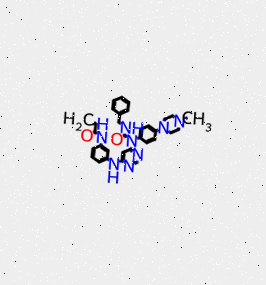 C=CC(=O)Nc1cccc(Nc2cc(N(C(=O)NCc3ccccc3)c3ccc(N4CCN(C)CC4)cc3)ncn2)c1